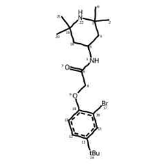 CC1(C)CC(NC(=O)COc2ccc(C(C)(C)C)cc2Br)CC(C)(C)N1